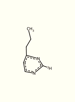 [2H]c1nccc(CCC)n1